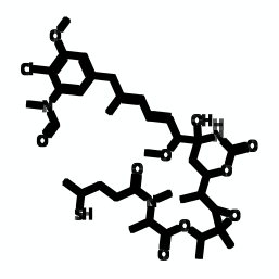 COc1cc(C/C(C)=C/C=C/C(OC)C2(O)CC(C(C)C3OC3(C)C(C)OC(=O)C(C)N(C)C(=O)CCC(C)S)OC(=O)N2)cc(N(C)C=O)c1Cl